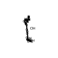 CN1CCC(Nc2cccc(C(=O)NCc3ccc(OCCCCCCOCCOCCOCCCCCC(=O)Nc4cccc5c4CN(C4CCC(=O)NC4=O)C5=O)cc3)c2)(c2nnc(-c3ccncc3)[nH]2)CC1.Cl